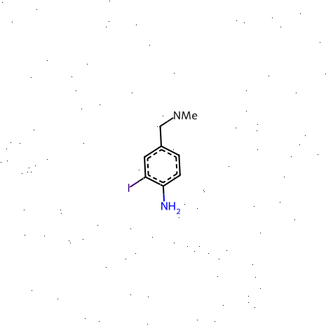 CNCc1ccc(N)c(I)c1